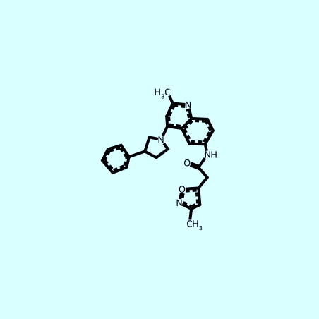 Cc1cc(CC(=O)Nc2ccc3nc(C)cc(N4CCC(c5ccccc5)C4)c3c2)on1